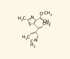 C=C(OC)c1nc(C)sc1C(=C\C)/C(/C=N\C)=C/C